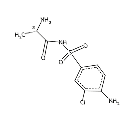 C[C@H](N)C(=O)NS(=O)(=O)c1ccc(N)c(Cl)c1